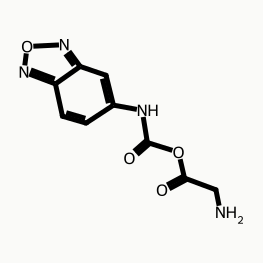 NCC(=O)OC(=O)Nc1ccc2nonc2c1